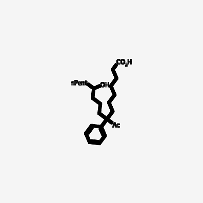 CCCCCC(O)CCCC(CCCCCCC(=O)O)(C(C)=O)c1ccccc1